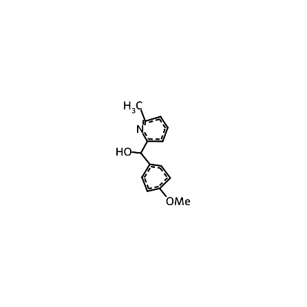 COc1ccc(C(O)c2cccc(C)n2)cc1